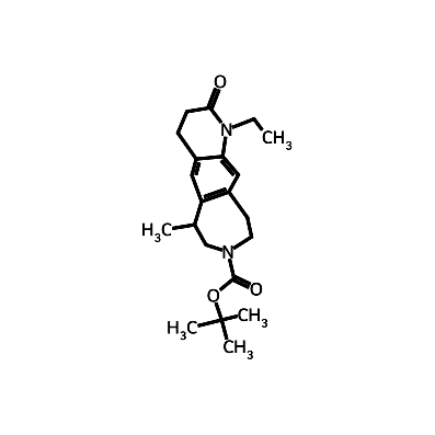 CCN1C(=O)CCc2cc3c(cc21)CCN(C(=O)OC(C)(C)C)CC3C